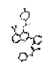 c1ccc(Sc2cc3c(-c4nc(CNC5CCNCC5)c5c(C6CC6)cncc5n4)ccnc3[nH]2)cc1